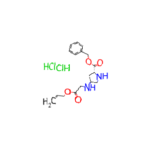 C=CCOC(=O)CN[C@@H]1CN[C@@H](C(=O)OCc2ccccc2)C1.Cl.Cl